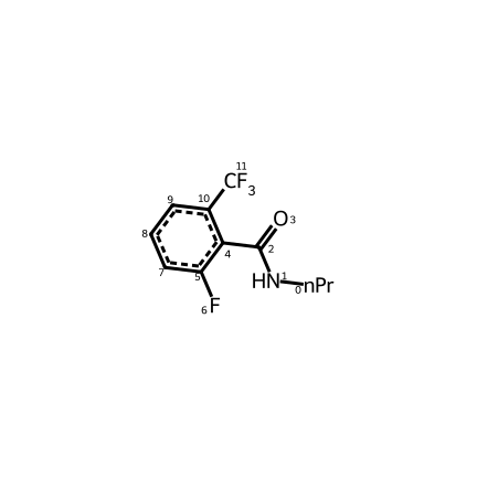 CCCNC(=O)c1c(F)cccc1C(F)(F)F